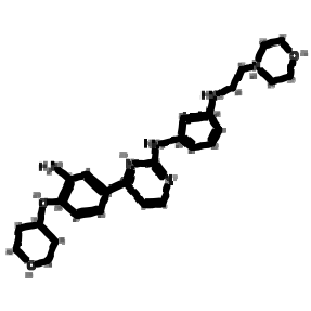 Nc1cc(-c2ccnc(Nc3cccc(NCCN4CCOCC4)c3)n2)ccc1OC1CCOCC1